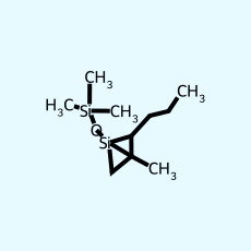 CCCC1C2(C)C[Si]12O[Si](C)(C)C